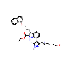 CCOC(=O)c1[nH]c2c(-c3c(/C=C/CCCCO)nn(C)c3C)cccc2c1CCCOc1cccc2ccccc12